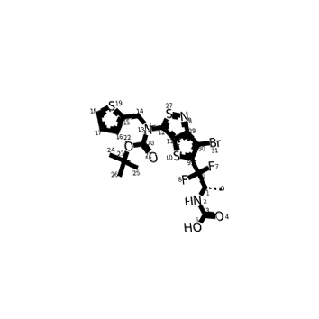 C[C@H](NC(=O)O)C(F)(F)c1sc2c(N(Cc3cccs3)C(=O)OC(C)(C)C)snc2c1Br